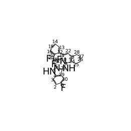 Fc1ccc2[nH]nc(Nc3nc(-c4ccccc4C(F)(F)F)cc4c3CCCC4)c2c1